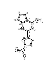 Nc1nc(-c2ccc([N+](=O)[O-])o2)nc2sccc12